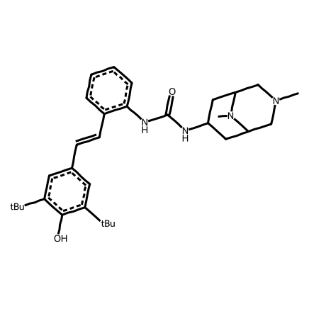 CN1CC2CC(NC(=O)Nc3ccccc3C=Cc3cc(C(C)(C)C)c(O)c(C(C)(C)C)c3)CC(C1)N2C